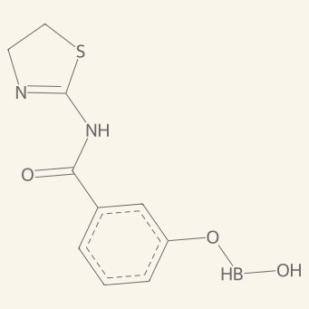 O=C(NC1=NCCS1)c1cccc(OBO)c1